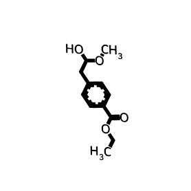 CCOC(=O)c1ccc(CC(O)OC)cc1